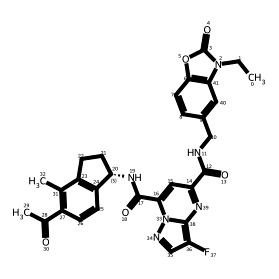 CCn1c(=O)oc2ccc(CNC(=O)c3cc(C(=O)N[C@H]4CCc5c4ccc(C(C)=O)c5C)n4ncc(F)c4n3)cc21